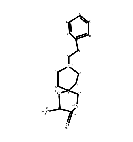 CC1OC2(CCN(CCc3ccccc3)CC2)CNC1=O